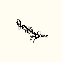 COc1cc(C)c(Cl)c(NC(=O)c2csc3c(Nc4ccc(C(=O)N5CCOCC5)cn4)ncnc23)c1Cl